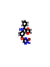 Cn1ncc(OC2CCC(NC(C3=CC=CCC3)C3=COC=CO3)CC2)nc1=O